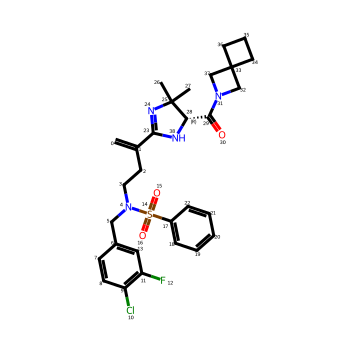 C=C(CCN(Cc1ccc(Cl)c(F)c1)S(=O)(=O)c1ccccc1)C1=NC(C)(C)[C@H](C(=O)N2CC3(CCC3)C2)N1